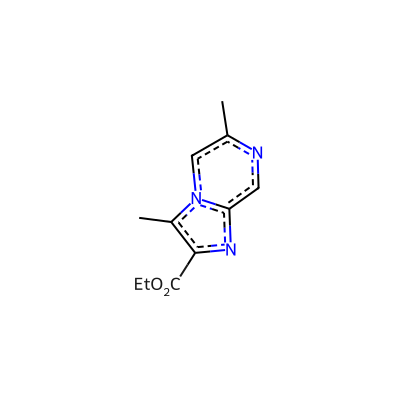 CCOC(=O)c1nc2cnc(C)cn2c1C